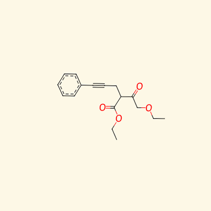 CCOCC(=O)C(CC#Cc1ccccc1)C(=O)OCC